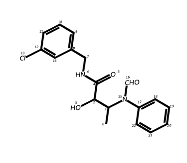 CC(C(O)C(=O)NCc1cccc(Cl)c1)N(C=O)c1ccccc1